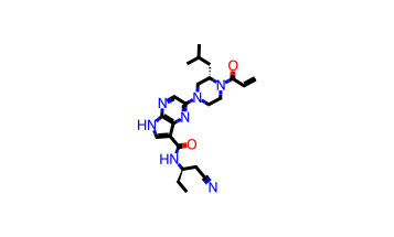 C=CC(=O)N1CCN(c2cnc3[nH]cc(C(=O)N[C@H](CC)CC#N)c3n2)C[C@@H]1CC(C)C